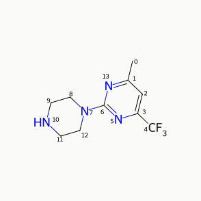 Cc1cc(C(F)(F)F)nc(N2CCNCC2)n1